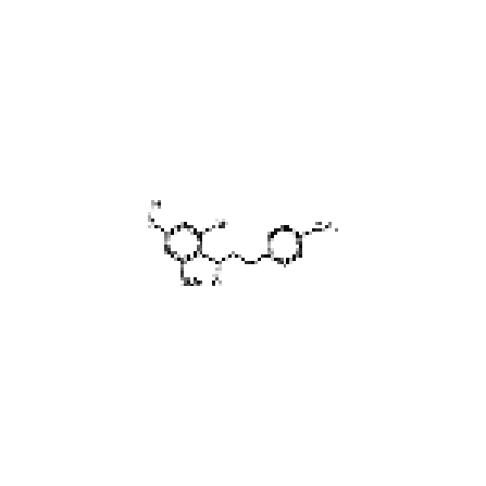 COc1ccc(CCC(=O)c2c(O)cc(OC(C)C)cc2OC)cc1